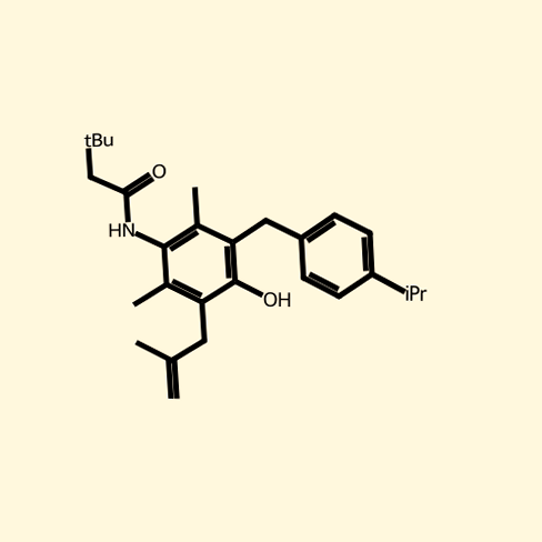 C=C(C)Cc1c(C)c(NC(=O)CC(C)(C)C)c(C)c(Cc2ccc(C(C)C)cc2)c1O